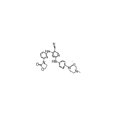 C[C@@H]1CN(C)CCN1c1ccc(Nc2ncc(C#N)c(Nc3cccc(N4CCOC4=O)n3)n2)cc1